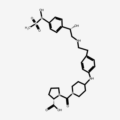 CS(=O)(=O)N(O)c1ccc([C@H](O)CNCCc2ccc(NC3CCN(C(=O)N4CCC[C@H]4C(=O)O)CC3)cc2)cc1